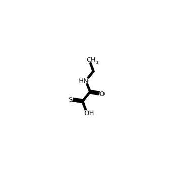 CCNC(=O)C(O)=S